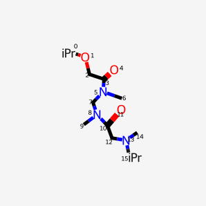 CC(C)OCC(=O)N(C)CN(C)C(=O)CN(C)C(C)C